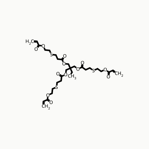 C=CC(=O)OCCSCCC(=O)OCC(CC)(COC(=O)CCSCCOC(=O)C=C)COC(=O)CCSCCOC(=O)C=C